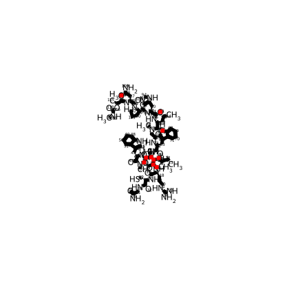 CCCC[C@@H](C(=O)N(C)[C@@H](CCCC)C(=O)N[C@@H](CCCNC(=N)N)C(=O)N[C@@H](CS)C(=O)NCC(N)=O)N(C)C(=O)[C@H](Cc1c[nH]c2ccccc12)NC(=O)[C@H](CO)NC(=O)[C@H](Cc1c[nH]c2ccccc12)NC(=O)CN(C)C(=O)[C@H](CC(C)C)NC(=O)[C@H](Cc1cnc[nH]1)NC(=O)[C@@H]1CCCN1C(=O)[C@H](CC(N)=O)NC(=O)[C@H](C)OC(=O)NC